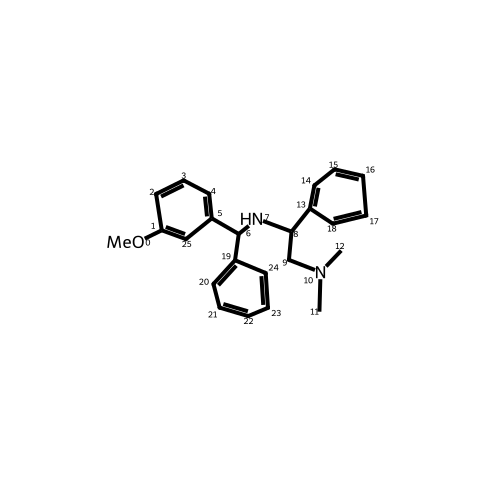 COc1cccc(C(NC(CN(C)C)c2ccccc2)c2ccccc2)c1